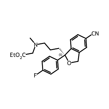 CCOC(=O)CN(C)CCC[C@@]1(c2ccc(F)cc2)OCc2cc(C#N)ccc21